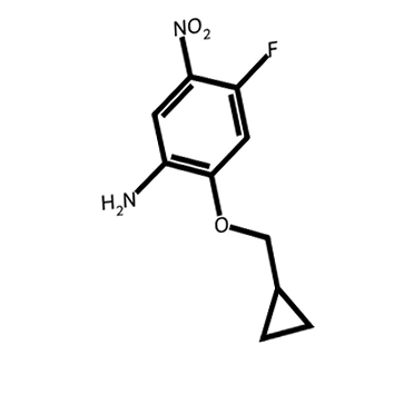 Nc1cc([N+](=O)[O-])c(F)cc1OCC1CC1